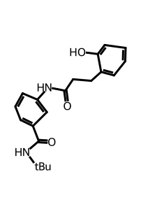 CC(C)(C)NC(=O)c1cccc(NC(=O)CCc2ccccc2O)c1